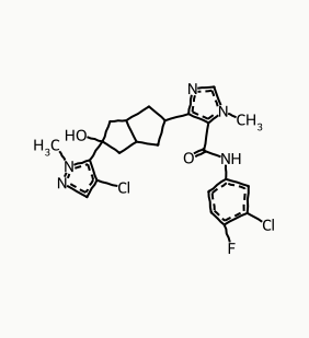 Cn1cnc(C2CC3CC(O)(c4c(Cl)cnn4C)CC3C2)c1C(=O)Nc1ccc(F)c(Cl)c1